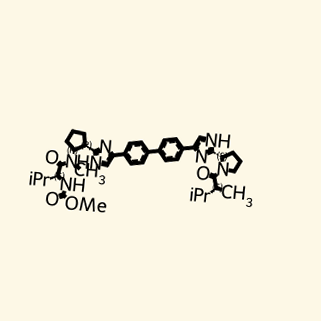 COC(=O)N[C@H](C(=O)N(C)[C@@H]1CCC[C@H]1c1nc(-c2ccc(-c3ccc(-c4c[nH]c([C@@H]5CCCN5C(=O)[C@@H](C)C(C)C)n4)cc3)cc2)c[nH]1)C(C)C